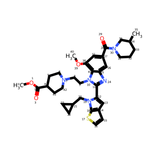 COC(=O)C1CCN(CCn2c(-c3cc4ccsc4n3CC3CC3)nc3cc(C(=O)N4CCCC(C)C4)cc(OC)c32)CC1